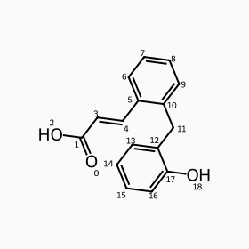 O=C(O)/C=C/c1ccccc1Cc1ccccc1O